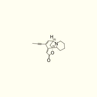 CC#CC1=C[C@@H]2C[C@@]3(OC(=O)C=C13)C1CCCCN12